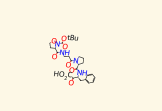 CC(C)(C)OC(=O)N1OCCC1C(=O)NCCC(=O)N1CCC[C@H]1C(=O)N[C@@H](Cc1ccccc1)C(=O)C(=O)O